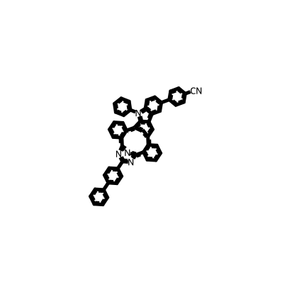 N#Cc1ccc(-c2ccc3c(c2)c2cc4cc(c5ccccc5c5nc(-c6ccc(-c7ccccc7)cc6)nc(n5)c5ccccc45)c2n3-c2ccccc2)cc1